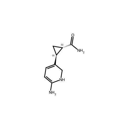 NC(=O)[C@H]1C[C@@H]1C1=CC=C(N)NC1